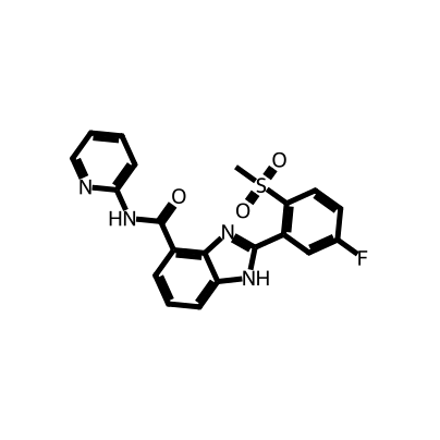 CS(=O)(=O)c1ccc(F)cc1-c1nc2c(C(=O)Nc3ccccn3)cccc2[nH]1